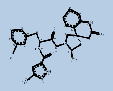 N[C@@H]1C[C@]2(CC(=O)Nc3ccccc32)CN1CC(=O)[C@H](Cc1cccc(F)c1)NC(=O)c1cc(C(F)(F)F)n[nH]1